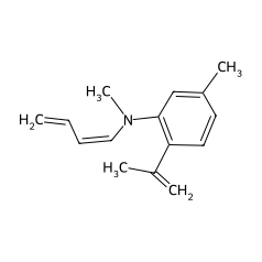 C=C/C=C\N(C)c1cc(C)ccc1C(=C)C